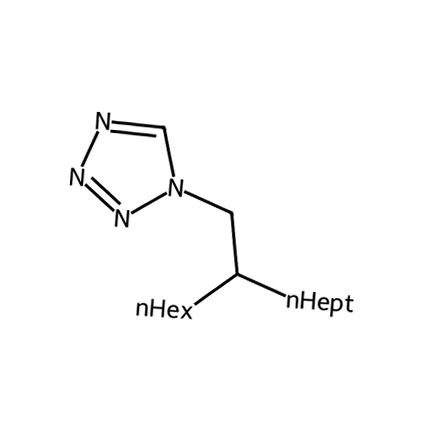 CCCCCCCC(CCCCCC)Cn1cnnn1